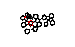 C1=CC2=C(CC1)C(c1ccccc1)(c1ccccc1)c1cc(-c3c4ccccc4c(-c4ccc5c(c4)C(c4ccccc4)(c4ccccc4)c4ccccc4-5)c4cccc(N(c5ccccc5)c5ccc6c(c5)c5ccccc5n6-c5ccccc5)c34)ccc12